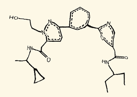 CCC(CC)NC(=O)c1cnc(-c2cccc(-c3cc(C(=O)NC(C)C4CC4)n(CCO)n3)c2)o1